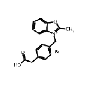 Cc1oc2ccccc2[n+]1Cc1ccc(CC(=O)O)cc1.[Br-]